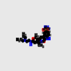 CCN(CC)CCNC(=O)Cc1c(C)[nH]c(/C=C2\C(=O)Nc3ccc(S(N)(=O)=O)cc32)c1C